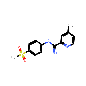 Cc1ccnc(C(=N)Nc2ccc(S(C)(=O)=O)cc2)c1